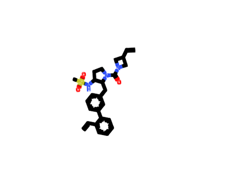 C=Cc1ccccc1-c1cccc(CC2C(NS(C)(=O)=O)CCN2C(=O)N2CC(C=C)C2)c1